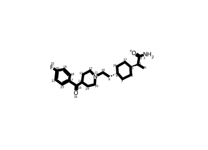 CC(C(N)=O)[C@H]1CC[C@H](CCN2CCC(C(=O)c3ccc(F)cc3)CC2)CC1